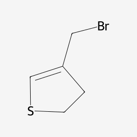 BrCC1=CSCC1